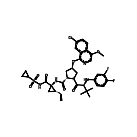 C=C[C@@H]1C[C@]1(NC(=O)[C@@H]1C[C@@H](Oc2ncc(OC)c3ccc(Cl)cc23)CN1C(=O)[C@@H](Nc1ccc(F)c(F)c1)C(C)(C)C)C(=O)NS(=O)(=O)C1CC1